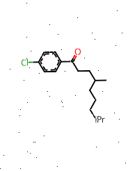 CC(C)CCCC(C)CCC(=O)c1ccc(Cl)cc1